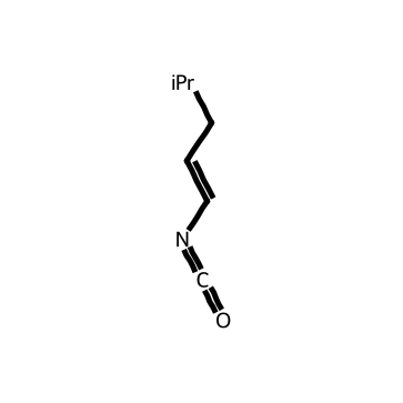 CC(C)CC=CN=C=O